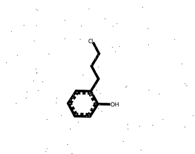 Oc1ccccc1CCCCl